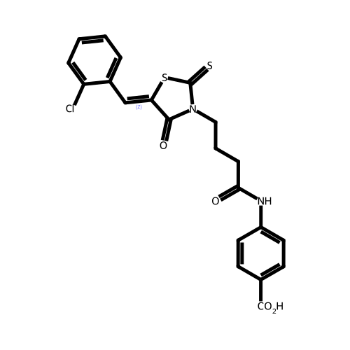 O=C(CCCN1C(=O)/C(=C/c2ccccc2Cl)SC1=S)Nc1ccc(C(=O)O)cc1